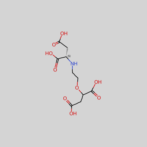 O=C(O)CC(OCCN[C@@H](CC(=O)O)C(=O)O)C(=O)O